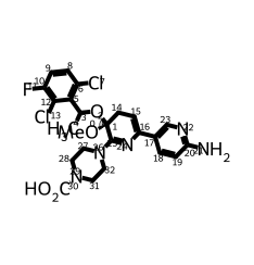 CO[C@@]1(OC(C)c2c(Cl)ccc(F)c2Cl)CC=C(c2ccc(N)nc2)N=C1N1CCN(C(=O)O)CC1